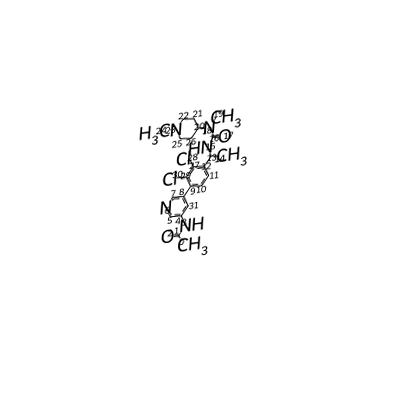 CC(=O)Nc1cncc(-c2ccc(C(C)NC(=O)N(C)C3CCN(C)CC3)c(Cl)c2Cl)c1